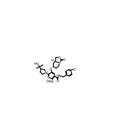 COc1nc(N2CCC(C(C)(C)O)C2)c(O[C@H]2CCN3C(=O)OC[C@@H]3C2)cc1C(=O)NCc1ccc(Cl)cc1